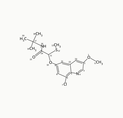 COc1cnc2c(Cl)cc(OC(SC)C(=O)NC(C)(C)C)cc2c1